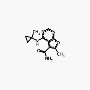 Cc1oc2ncnc(NC3(C)CC3)c2c1C(N)=O